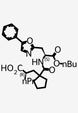 CCCCOC(=O)[C@H](Cc1ncc(-c2ccccc2)o1)NC(=O)C1(C[C@@H](CCC)C(=O)O)CCCC1